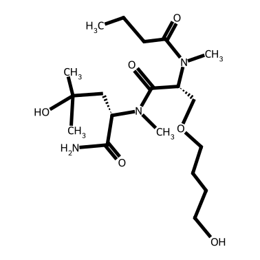 CCCC(=O)N(C)[C@H](COCCCCO)C(=O)N(C)[C@@H](CC(C)(C)O)C(N)=O